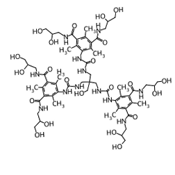 Cc1c(NC(=O)NCC(CO)(CNC(=O)Nc2c(C)c(C(=O)NCC(O)CO)c(C)c(C(=O)NCC(O)CO)c2C)CNC(=O)Nc2c(C)c(C(=O)NCC(O)CO)c(C)c(C(=O)NCC(O)CO)c2C)c(C)c(C(=O)NCC(O)CO)c(C)c1C(=O)NCC(O)CO